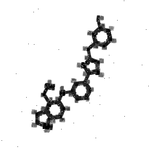 OCc1c(Oc2cccc(-c3nc(Cc4cccc(I)c4)cs3)c2)ccc2[nH]ccc12